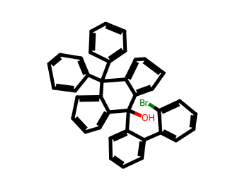 OC1(c2ccccc2-c2ccccc2Br)c2ccccc2C(c2ccccc2)(c2ccccc2)c2ccccc21